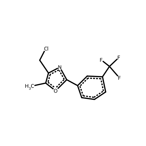 Cc1oc(-c2cccc(C(F)(F)F)c2)nc1CCl